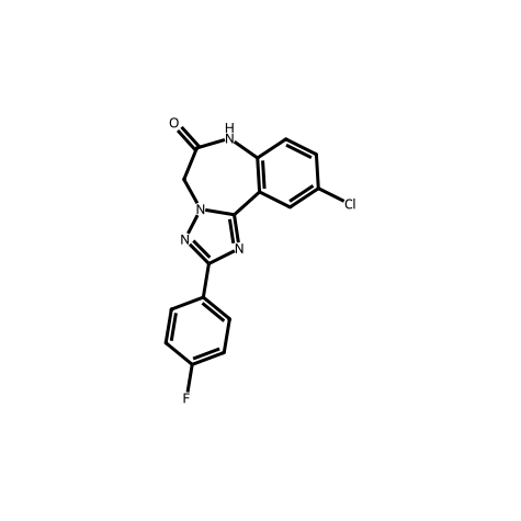 O=C1Cn2nc(-c3ccc(F)cc3)nc2-c2cc(Cl)ccc2N1